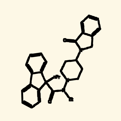 CCCC1(C(=O)N(CC)N2CCC(N3Cc4ccccc4C3=O)CC2)c2ccccc2-c2ccccc21